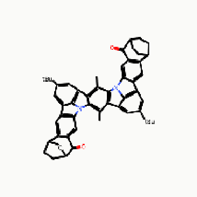 Cc1c2c3cc(C(C)(C)C)cc4c5cc6c(cc5n(c2c(C)c2c5cc(C(C)(C)C)cc7c8cc9c(cc8n(c12)c75)C(=O)C1CCC9CC1)c43)C(=O)C1CCC6CC1